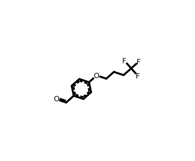 O=Cc1ccc(OCCCC(F)(F)F)cc1